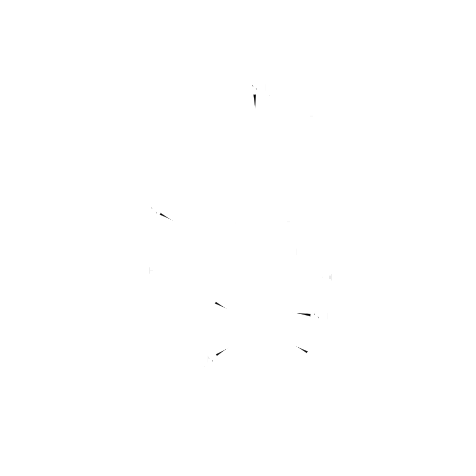 N[C@H]1[C@@H](OC2[C@@H](CO)O[C@@H](OC3[C@@H](CO)O[C@@H](O)[C@H](N)[C@H]3O)[C@H](N)[C@H]2O)O[C@](N)(CO)[C@@H](O)[C@@H]1O